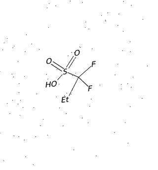 CCC(F)(F)S(=O)(=O)O